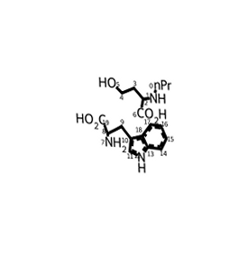 CCCNC(CCO)C(=O)O.NC(Cc1c[nH]c2ccccc12)C(=O)O